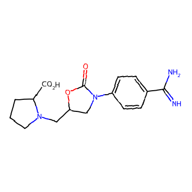 N=C(N)c1ccc(N2CC(CN3CCCC3C(=O)O)OC2=O)cc1